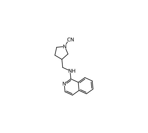 N#CN1CCC(CNc2nccc3ccccc23)C1